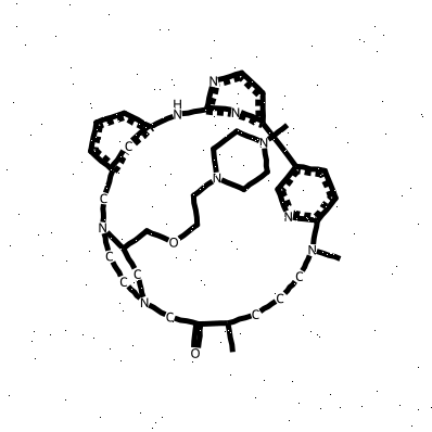 CC1CCCN(C)c2ccc(cn2)-c2ccnc(n2)Nc2cccc(c2)CN2CCN(CC1=O)CC2COCCN1CCN(C)CC1